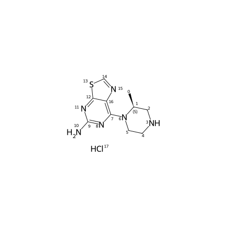 C[C@H]1CNCCN1c1nc(N)nc2scnc12.Cl